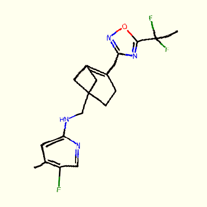 Cc1cc(NCC23CCC(c4noc(C(C)(F)F)n4)=C(C2)C3)ncc1F